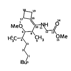 CCC(C)CCCC(C)C(OC)C(C)C(NCC(=O)OC)=C1CCC1